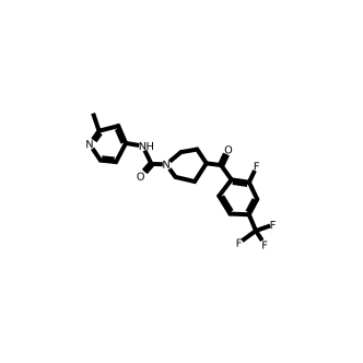 Cc1cc(NC(=O)N2CCC(C(=O)c3ccc(C(F)(F)F)cc3F)CC2)ccn1